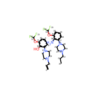 C=CCN1CCN(c2cccc(OC(F)F)c2O)CC1.CCCN1CCN(c2cccc(OC(F)F)c2N)CC1